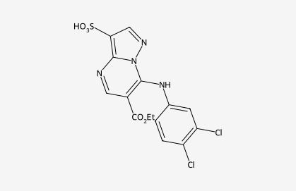 CCOC(=O)c1cnc2c(S(=O)(=O)O)cnn2c1Nc1ccc(Cl)c(Cl)c1